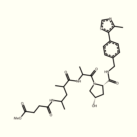 COC(=O)CCC(=O)NC(C)CC(C)C(=O)NC(C)C(=O)N1C[C@@H](O)C[C@H]1C(=O)NCc1ccc(-c2scnc2C)cc1